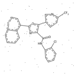 O=C(Nc1ccccc1Cl)c1nc(-c2cccc3ccccc23)oc1-c1ccc(C(F)(F)F)nc1